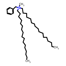 CCCCCCCCCCCCCCCCC[N+](C)(CCCCCCCCCCCCCCCCC)Cc1ccccc1